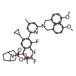 COc1ccc(CN(Cc2ccc(OC)cc2)c2cc(C)cc(-c3c(C4CC4)cc4c(N5CC6CCC(C5)N6C(=O)OC(C)(C)C)nc(F)nc4c3F)n2)cc1